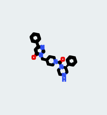 O=C(N1CCC(Cn2cnc(-c3ccccc3)cc2=O)CC1)N1CCNC[C@H]1c1ccccc1